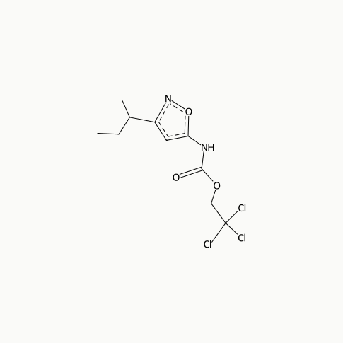 CCC(C)c1cc(NC(=O)OCC(Cl)(Cl)Cl)on1